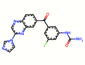 NC(=O)Nc1cc(F)cc(C(=O)c2ccc3ncc(-n4ccnc4)nc3c2)c1